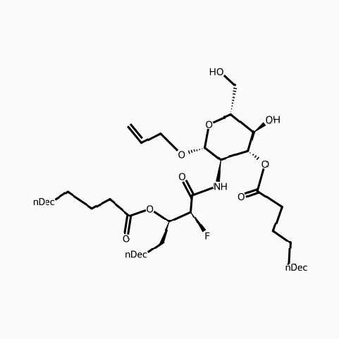 C=CCO[C@@H]1O[C@H](CO)[C@@H](O)[C@H](OC(=O)CCCCCCCCCCCCC)[C@H]1NC(=O)[C@@H](F)[C@@H](CCCCCCCCCCC)OC(=O)CCCCCCCCCCCCC